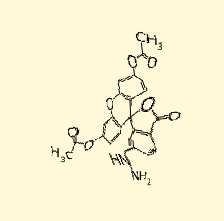 CC(=O)Oc1ccc2c(c1)Oc1cc(OC(C)=O)ccc1C21OC(=O)c2ccc(NN)cc21